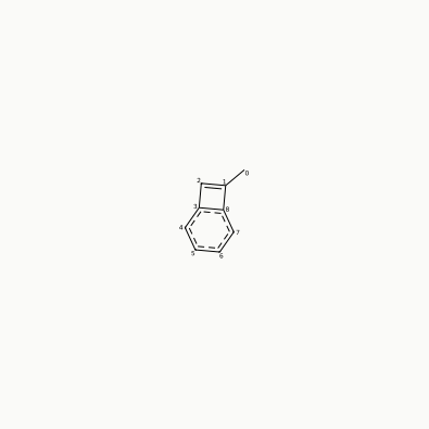 CC1=Cc2ccccc21